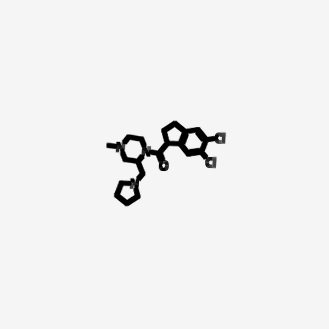 CN1CCN(C(=O)C2CCc3cc(Cl)c(Cl)cc32)C(CN2CCCC2)C1